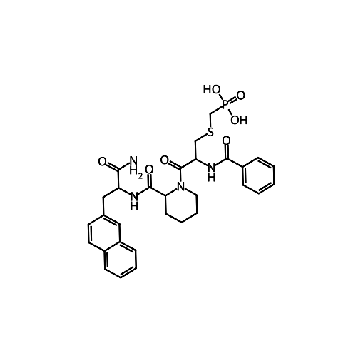 NC(=O)C(Cc1ccc2ccccc2c1)NC(=O)C1CCCCN1C(=O)C(CSCP(=O)(O)O)NC(=O)c1ccccc1